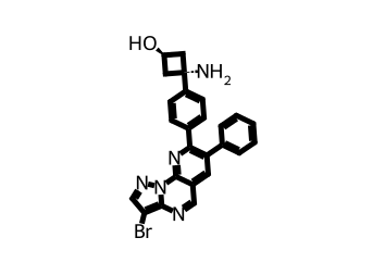 N[C@]1(c2ccc(-c3nc4c(cnc5c(Br)cnn54)cc3-c3ccccc3)cc2)C[C@@H](O)C1